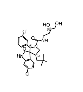 CC(C)(C)C[C@@H]1CN(C(=O)NCC[C@H](O)CO)[C@H](c2cccc(Cl)c2)C12C(=O)Nc1cc(Cl)ccc12